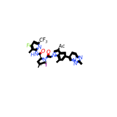 CC(=O)c1cn(CC(=O)N2[C@H](I)[C@@H](C)C[C@H]2C(=O)Nc2nc(C(F)(F)F)cc(F)c2C)c2c(C)cc(-c3ccc4nc(C)nn4c3)cc12